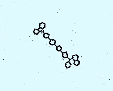 c1ccc(C(c2ccc(-c3ccc(-c4ccc(-c5ccc(-n6c7ccccc7c7ccccc76)cc5)cc4)cc3)cc2)c2cccc3ccccc23)cc1